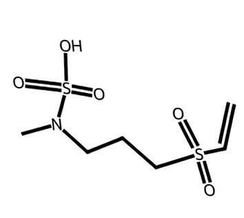 C=CS(=O)(=O)CCCN(C)S(=O)(=O)O